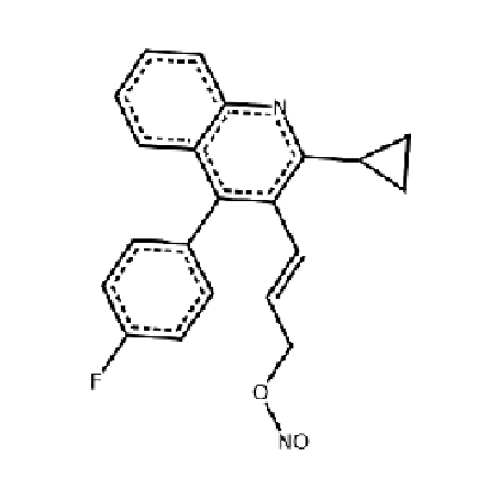 O=NOCC=Cc1c(C2CC2)nc2ccccc2c1-c1ccc(F)cc1